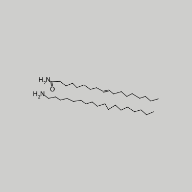 CCCCCCCCC=CCCCCCCCC(N)=O.CCCCCCCCCCCCCCCCCCN